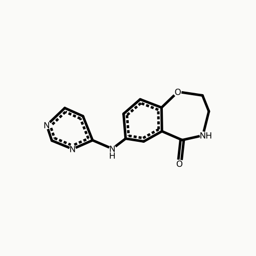 O=C1NCCOc2ccc(Nc3ccncn3)cc21